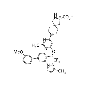 COc1cccc(-c2ccc(C(Oc3cc(N4CCC5(CC4)CN[C@H](C(=O)O)C5)nc(C)n3)C(F)(F)F)c(-n3ccc(C)n3)c2)c1